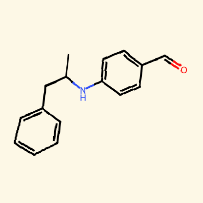 CC(Cc1ccccc1)Nc1ccc(C=O)cc1